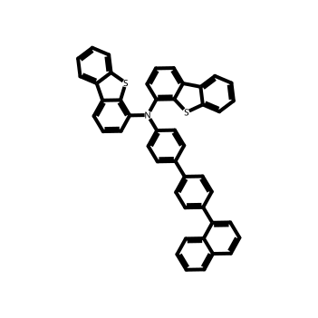 c1ccc2c(-c3ccc(-c4ccc(N(c5cccc6c5sc5ccccc56)c5cccc6c5sc5ccccc56)cc4)cc3)cccc2c1